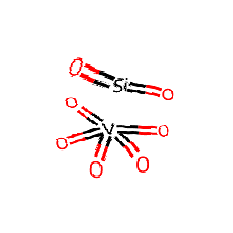 O=[Si]=O.[O]=[V](=[O])(=[O])(=[O])=[O]